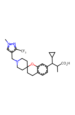 CC(C(=O)O)C(c1ccc2c(c1)OC1(CC2)CCN(Cc2cn(C)nc2C(F)(F)F)CC1)C1CC1